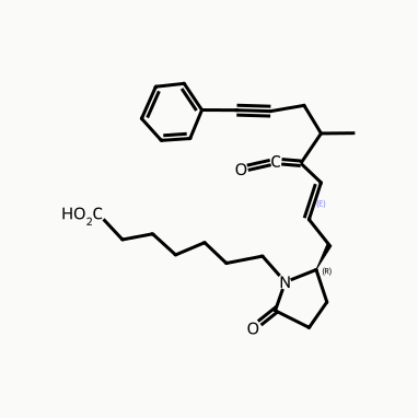 CC(CC#Cc1ccccc1)C(=C=O)/C=C/C[C@H]1CCC(=O)N1CCCCCCC(=O)O